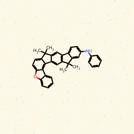 CC1(C)c2cc(Nc3ccccc3)ccc2-c2cc3c(cc21)-c1c(ccc2oc4ccccc4c12)C3(C)C